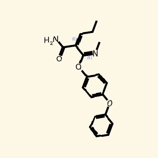 CC/C=C(C(N)=O)\C(=N/C)Oc1ccc(Oc2ccccc2)cc1